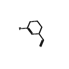 C=CC1C=C(F)CCC1